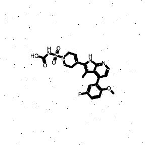 COc1ccc(F)cc1-c1ccnc2[nH]c(C3=CCN(S(=O)(=O)NC(=O)O)CC3)c(C)c12